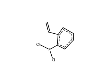 C=Cc1ccccc1P(Cl)Cl